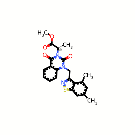 COC(=O)[C@H](C)n1c(=O)c2ccccc2n(Cc2nsc3cc(C)cc(C)c23)c1=O